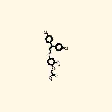 COC(=O)COc1ccc(SCC=C(c2ccc(Cl)cc2)c2ccc(Cl)cc2)cc1OC